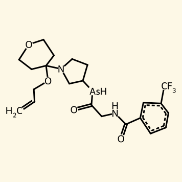 C=CCOC1(N2CCC([AsH]C(=O)CNC(=O)c3cccc(C(F)(F)F)c3)C2)CCOCC1